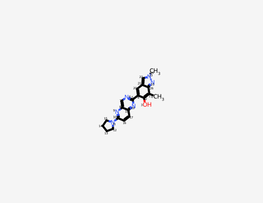 Cc1c(O)c(-c2ncc3nc(N4CCCC4)ccc3n2)cc2cn(C)nc12